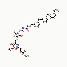 CC/C=C\C/C=C\C/C=C\C/C=C\C/C=C\C/C=C\CCC(=O)NCCN1C(=O)C[C@@H](SCC(NC(=O)/C=C/C(=O)OC)C(=O)OC)C1=O